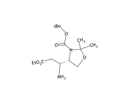 CCOC(=O)CC(N)[C@H]1COC(C)(C)N1C(=O)OC(C)(C)C